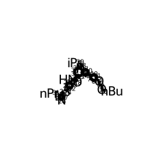 CCCCOCCOc1ccc(-c2ccc3c(c2)/C=C(/C(=O)Nc2ccc(SCc4cncn4CCC)cc2)CCCN3CC(C)C)cc1